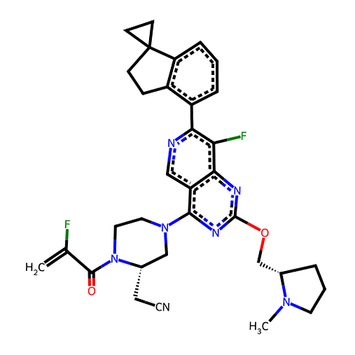 C=C(F)C(=O)N1CCN(c2nc(OC[C@@H]3CCCN3C)nc3c(F)c(-c4cccc5c4CCC54CC4)ncc23)C[C@@H]1CC#N